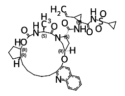 C=CC1C[C@]1(NC(=O)[C@@H]1C[C@@H]2CN1C(=O)[C@H](C)NC(=O)O[C@@H]1CCC[C@H]1CCCCCc1nc3ccccc3cc1O2)C(=O)NS(=O)(=O)C1CC1